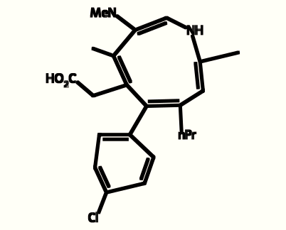 CCCc1cc(C)[nH]cc(NC)c(C)c(CC(=O)O)c1-c1ccc(Cl)cc1